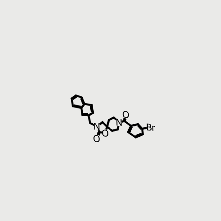 O=C1OC2(CCN(C(=O)c3cccc(Br)c3)CC2)CN1Cc1ccc2ccccc2c1